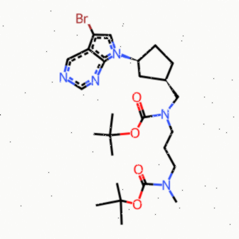 CN(CCCN(C[C@@H]1CC[C@H](n2cc(Br)c3cncnc32)C1)C(=O)OC(C)(C)C)C(=O)OC(C)(C)C